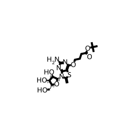 C=C1Sc2c(OCCCC(=O)OC(C)(C)C)nc(N)nc2N1[C@@H]1O[C@H](CO)[C@@H](O)[C@H]1O